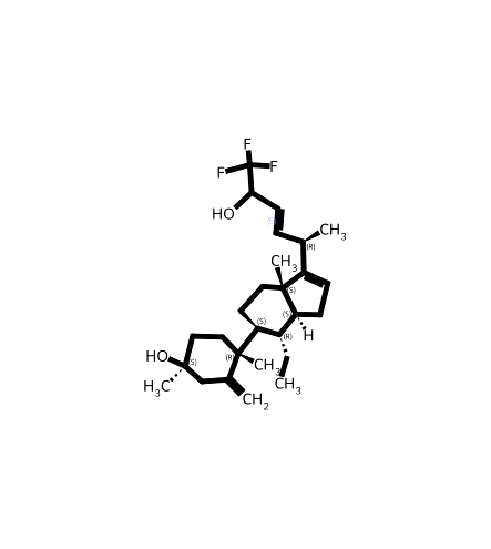 C=C1C[C@@](C)(O)CC[C@]1(C)[C@H]1CC[C@]2(C)C([C@H](C)/C=C/C(O)C(F)(F)F)=CC[C@H]2[C@@H]1CC